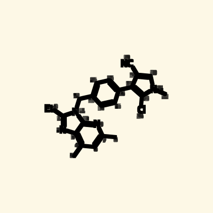 CCc1nc2c(C)cc(C)nc2n1Cc1ccc(-c2c(C#N)cn(C)c2Cl)cc1